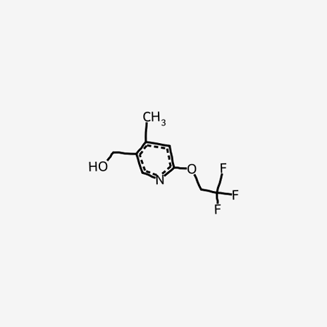 Cc1cc(OCC(F)(F)F)ncc1CO